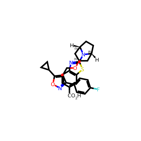 O=C(O)c1ccc2nc(N3[C@@H]4CC[C@H]3C[C@H](OCc3c(-c5ccc(F)cc5)noc3C3CC3)C4)sc2c1